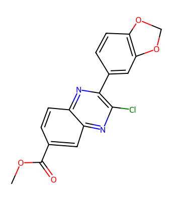 COC(=O)c1ccc2nc(-c3ccc4c(c3)OCO4)c(Cl)nc2c1